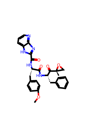 COc1ccc(C[C@H](NC(=O)c2nc3ncccc3[nH]2)C(=O)N[C@@H](Cc2ccccc2)C(=O)[C@@]2(C)CO2)cc1